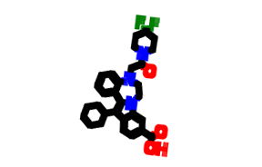 O=C(O)c1ccc2c(C3CCCCC3)c3n(c2c1)CCN(CC(=O)N1CCC(F)(F)CC1)c1ccccc1-3